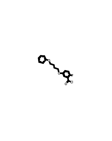 O=C(Cl)c1cc(OCCCCOc2ccccc2)ccc1F